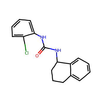 O=C(Nc1ccccc1Cl)NC1CCCc2ccccc21